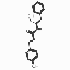 O=C(CCc1ccc(O)cc1)N[C@H](CO)Cc1ccccc1